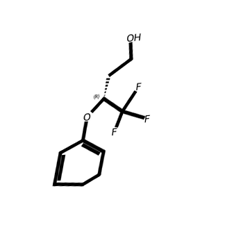 OCC[C@@H](OC1=CC[CH]C=C1)C(F)(F)F